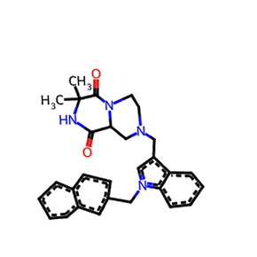 CC1(C)NC(=O)C2CN(Cc3cn(Cc4ccc5ccccc5c4)c4ccccc34)CCN2C1=O